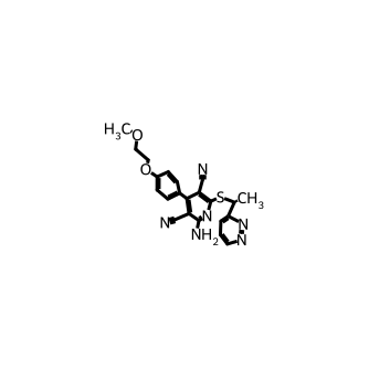 COCCOc1ccc(-c2c(C#N)c(N)nc(S[C@@H](C)c3cccnn3)c2C#N)cc1